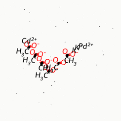 CC(=O)[O-].CC(=O)[O-].CC(=O)[O-].CC(=O)[O-].CC(=O)[O-].CC(=O)[O-].[Cd+2].[K+].[K+].[Pd+2]